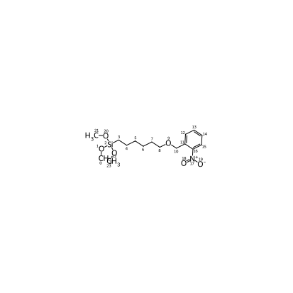 CO[Si](CCCCCCOCc1ccccc1[N+](=O)[O-])(OC)OC